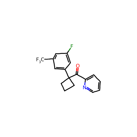 O=C(c1ccccn1)C1(c2cc(F)cc(C(F)(F)F)c2)CCC1